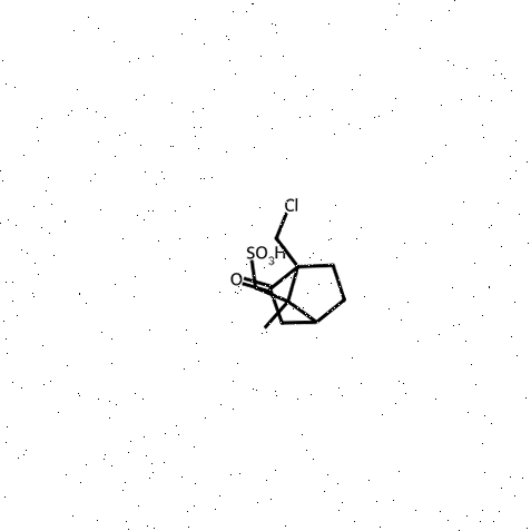 CC1(CS(=O)(=O)O)C2CCC1(CCl)C(=O)C2